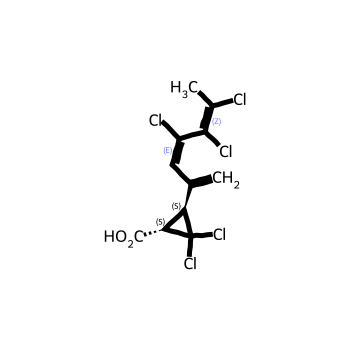 C=C(/C=C(Cl)\C(Cl)=C(/C)Cl)[C@@H]1[C@@H](C(=O)O)C1(Cl)Cl